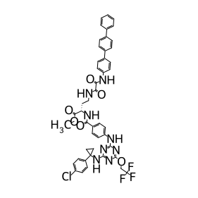 COC(=O)[C@H](CCNC(=O)C(=O)Nc1ccc(-c2ccc(-c3ccccc3)cc2)cc1)NC(=O)c1ccc(Nc2nc(NC3(c4ccc(Cl)cc4)CC3)nc(OCC(F)(F)F)n2)cc1